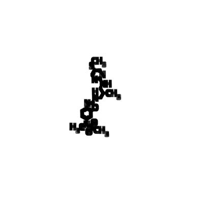 CSc1cnc(NCC(C)CNc2nc3ccc(N(C)S(C)(=O)=O)cc3o2)nc1